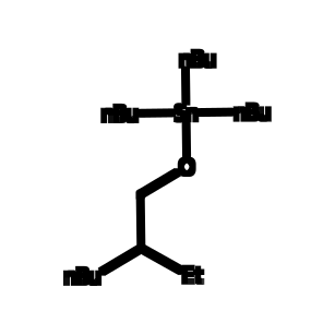 CCCCC(CC)C[O][Sn]([CH2]CCC)([CH2]CCC)[CH2]CCC